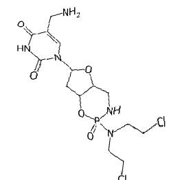 NCc1cn(C2CC3OP(=O)(N(CCCl)CCCl)NCC3O2)c(=O)[nH]c1=O